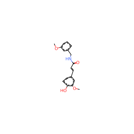 COc1cccc(CNC(=O)/C=C/c2ccc(O)c(OC)c2)c1